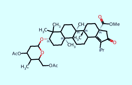 COC(=O)[C@@]12CC[C@]3(C)C(CCC4[C@@]5(C)CC[C@H](OC6CC(OC(C)=O)C(C)C(COC(C)=O)O6)C(C)(C)C5CC[C@]43C)C1=C(C(C)C)C(=O)C2